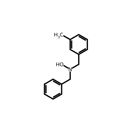 Cc1cccc(CN(O)Cc2ccccc2)c1